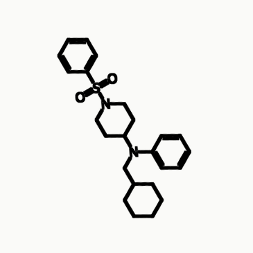 O=S(=O)(c1ccccc1)N1CCC(N(CC2CCCCC2)c2ccccc2)CC1